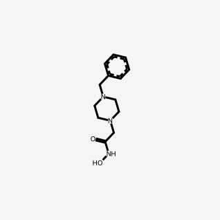 O=C(CN1CCN(Cc2ccccc2)CC1)NO